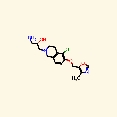 Cc1ncoc1COc1ccc2c(c1Cl)CCN(C[C@@H](O)CN)C2